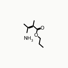 CCCOC(=O)C(C)=C(C)C.N